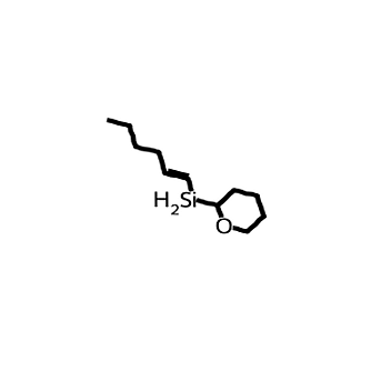 CCCCC=C[SiH2]C1CCCCO1